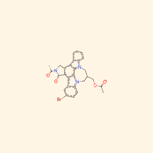 CC(=O)OCC1Cn2c3ccccc3c3c4c(c5c6cc(Br)ccc6n(c5c32)C1)C(=O)N(C(C)=O)C4